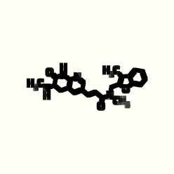 CNC1Cc2cc(/C=C/C(=O)N(C)Cc3oc4ccccc4c3C)cnc2NC1=O